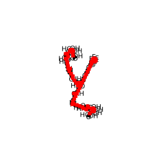 O=C(CCCCn1cc(CCCCNC(=O)Nc2ccc(O[C@H]3O[C@H](CCP(=O)(O)O)[C@@H](O)[C@H](O)[C@@H]3O)cc2)nn1)NCCCC[C@H](NC(=O)CCCNC(=O)CCCCn1cc(CCCCNC(=O)Nc2ccc(O[C@H]3O[C@H](CCP(=O)(O)O)[C@@H](O)[C@H](O)[C@@H]3O)cc2)nn1)C(=O)NCCOCCOCCOCCOCCC(=O)Oc1c(F)c(F)c(F)c(F)c1F